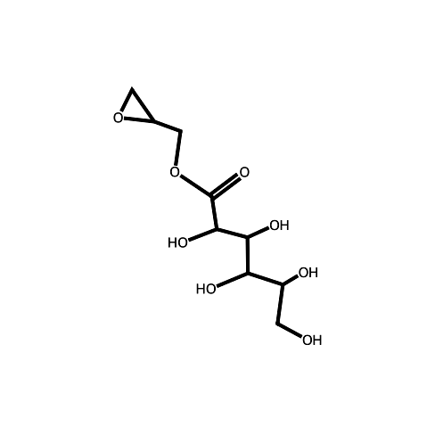 O=C(OCC1CO1)C(O)C(O)C(O)C(O)CO